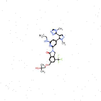 CCNc1cc(-c2c(-c3nncn3C)cnn2C)cc(N2Cc3c(cc(COCC(C)(C)O)cc3C(F)(F)F)C2=O)n1